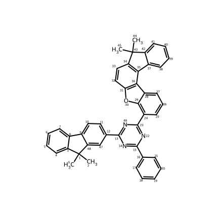 CC1(C)c2ccccc2-c2ccc(-c3nc(-c4ccccc4)nc(-c4cccc5c4oc4ccc6c(c45)-c4ccccc4C6(C)C)n3)cc21